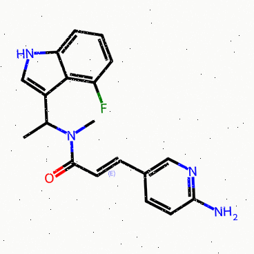 CC(c1c[nH]c2cccc(F)c12)N(C)C(=O)/C=C/c1ccc(N)nc1